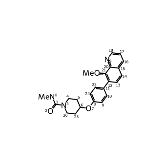 CNC(=O)N1CCC(Oc2ccc(-c3ccc4cccnc4c3OC)cc2)CC1